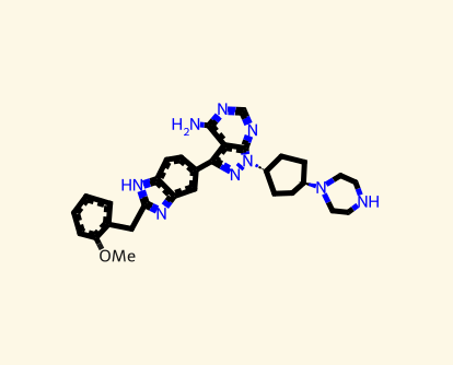 COc1ccccc1Cc1nc2cc(-c3nn([C@H]4CC[C@H](N5CCNCC5)CC4)c4ncnc(N)c34)ccc2[nH]1